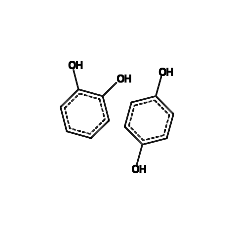 Oc1ccc(O)cc1.Oc1ccccc1O